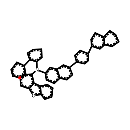 c1ccc(-c2ccccc2N(c2ccc3ccc(-c4ccc(-c5ccc6ccccc6c5)cc4)cc3c2)c2cccc3oc4ccccc4c23)cc1